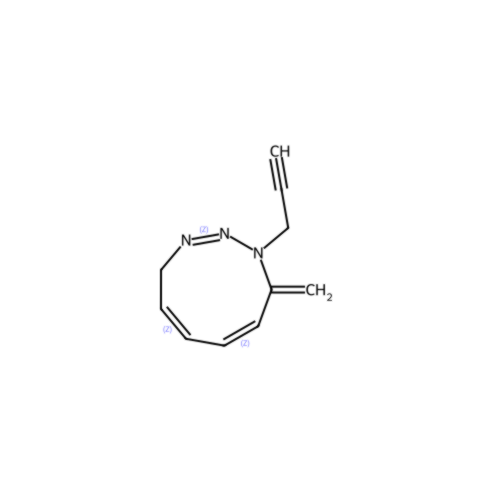 C#CCN1/N=N\C/C=C\C=C/C1=C